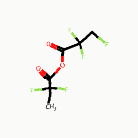 CC(F)(F)C(=O)OC(=O)C(F)(F)CF